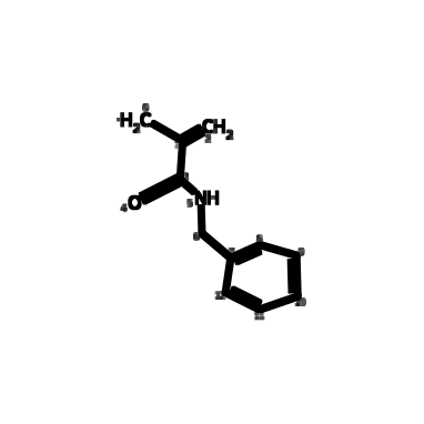 [CH2]C(=C)C(=O)NCc1ccccc1